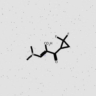 CN(C)/C=C(\C(=O)O)C(=O)C1CC1(F)F